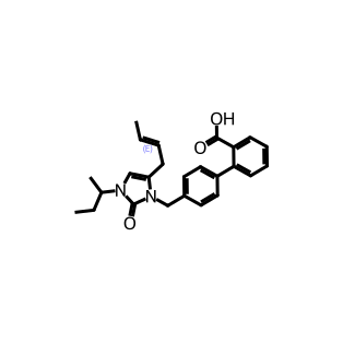 C/C=C/Cc1cn(C(C)CC)c(=O)n1Cc1ccc(-c2ccccc2C(=O)O)cc1